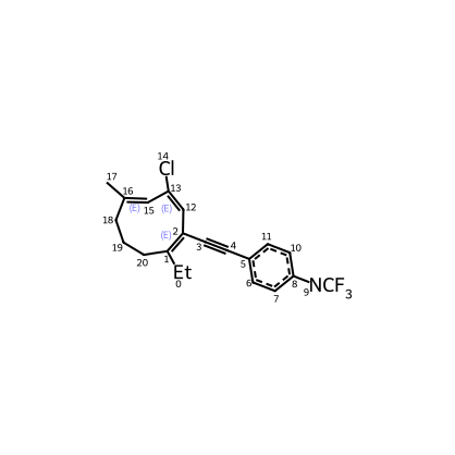 CC/C1=C(C#Cc2ccc(NC(F)(F)F)cc2)/C=C(Cl)\C=C(/C)CCC1